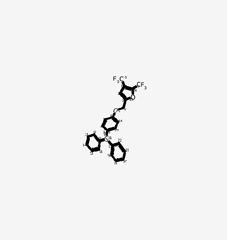 FC(F)(F)c1cc(COc2ccc([SH](c3ccccc3)c3ccccc3)cc2)oc1C(F)(F)F